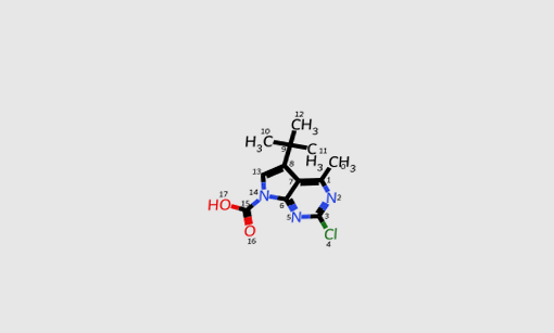 Cc1nc(Cl)nc2c1c(C(C)(C)C)cn2C(=O)O